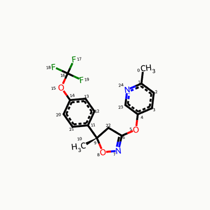 Cc1ccc(OC2=NO[C@](C)(c3ccc(OC(F)(F)F)cc3)C2)cn1